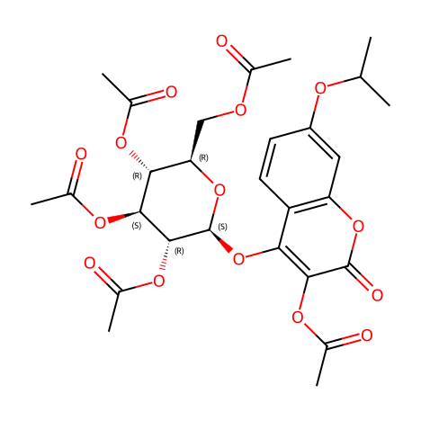 CC(=O)OC[C@H]1O[C@@H](Oc2c(OC(C)=O)c(=O)oc3cc(OC(C)C)ccc23)[C@H](OC(C)=O)[C@@H](OC(C)=O)[C@@H]1OC(C)=O